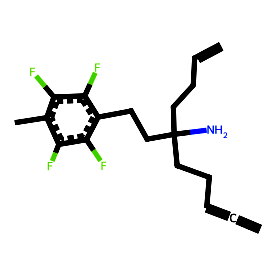 C=C=CCCC(N)(CCC=C)CCc1c(F)c(F)c(C)c(F)c1F